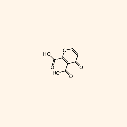 O=C(O)c1occc(=O)c1C(=O)O